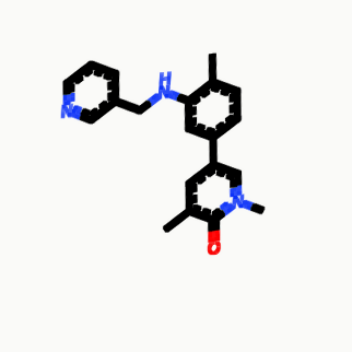 Cc1ccc(-c2cc(C)c(=O)n(C)c2)cc1NCc1cccnc1